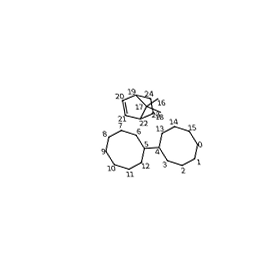 C1CCCC(C2CCCCCCC2)CCC1.CC1(C)C2C=CC1CC2